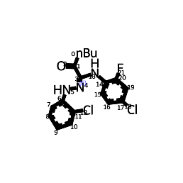 CCCCC(=O)/C(=N\Nc1ccccc1Cl)Nc1ccc(Cl)cc1F